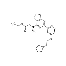 CCOC(=O)CN(C)c1nc(-c2cc(OCCN3CCCC3)ccn2)nc2c1CCC2